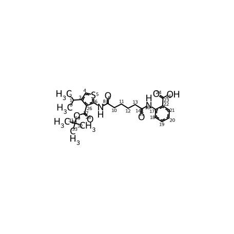 CC(C)c1csc(NC(=O)CCCCC(=O)Nc2ccccc2C(=O)O)c1C(=O)OC(C)(C)C